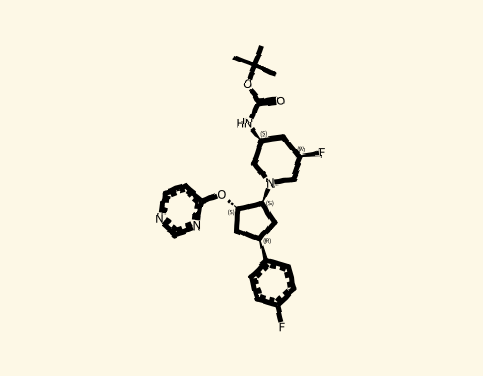 CC(C)(C)OC(=O)N[C@H]1C[C@@H](F)CN([C@H]2C[C@@H](c3ccc(F)cc3)C[C@@H]2Oc2ccncn2)C1